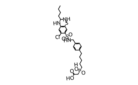 CCCCC1NSc2cc(S(=O)(=O)NCc3ccc(CCCCCP(=O)(O)CC(=O)O)cc3)c(Cl)cc2N1